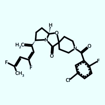 C=C(/C=C(F)\C=C(/C)F)[C@@H]1CC[C@H]2OC3(CCN(C(=O)c4cc(Cl)ccc4F)CC3)C(=O)N21